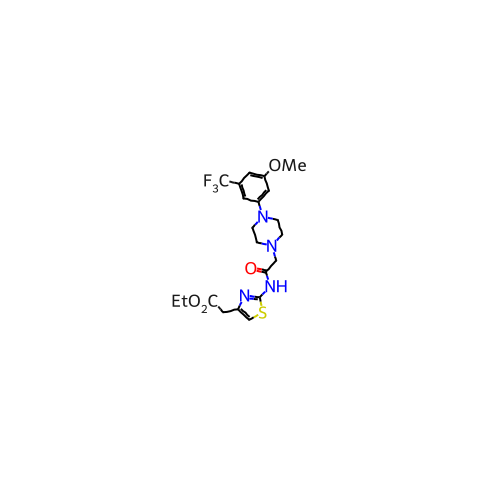 CCOC(=O)Cc1csc(NC(=O)CN2CCN(c3cc(OC)cc(C(F)(F)F)c3)CC2)n1